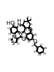 CC1(C)CC(=O)C2=C(C1)Nc1c(O)cccc1N(C(=O)c1cscn1)[C@H]2c1ccc(OCc2ccccc2)cc1F